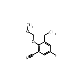 CCc1cc(F)cc(C#N)c1OCOC